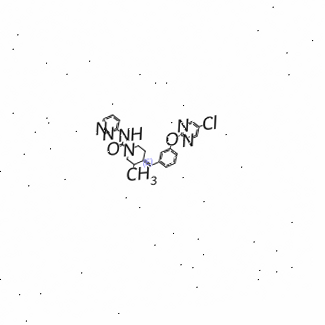 CC1CN(C(=O)Nc2cccnn2)CC/C1=C\c1cccc(Oc2ncc(Cl)cn2)c1